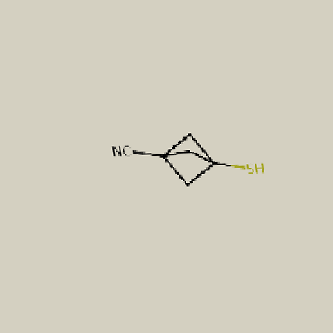 N#CC12CC(S)(C1)C2